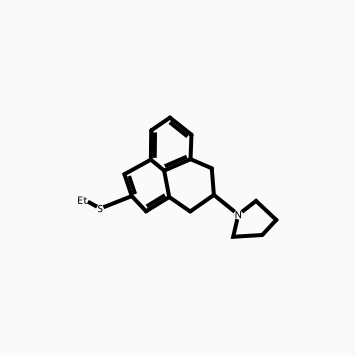 CCSc1cc2c3c(cccc3c1)CC(N1CCCC1)C2